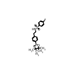 CC1(C)OB(c2ccc(CCNS(=O)(=O)c3ccc(F)cc3)cc2)OC1(C)C